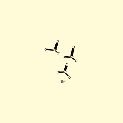 O=[N+]([O-])[O-].O=[N+]([O-])[O-].O=[N+]([O-])[O-].[Th+3]